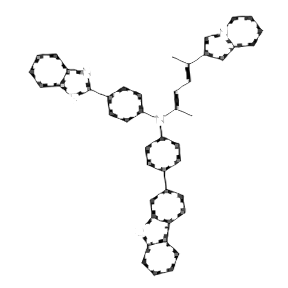 C/C(=C\C=C(/C)N(c1ccc(-c2ccc3c(c2)oc2ccccc23)cc1)c1ccc(-c2nc3ccccc3s2)cc1)c1cc2ccccn2c1